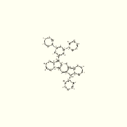 c1ccc(-c2cc(-c3ccccc3)nc(-n3c4ccccc4c4cc5c(cc43)c3ccccc3n5-c3ccccn3)c2)cc1